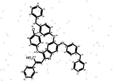 O=C(O)C(=Cc1sc2cc(Oc3ccc(Cc4ccncc4)cc3)c(Oc3ccc(Cc4ccncc4)cc3)cc2c1Oc1ccc(Cl)cc1)c1ccncc1